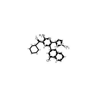 Cn1ccc(-c2nc(N)c(C(=O)C3CCCCC3)nc2-c2cc(Cl)c3ncccc3c2)n1